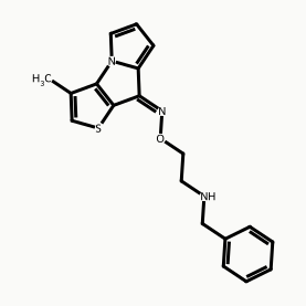 Cc1csc2c1-n1cccc1/C2=N/OCCNCc1ccccc1